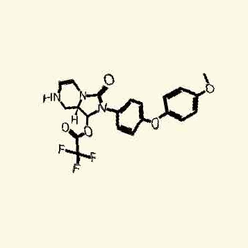 COc1ccc(Oc2ccc(N3C(=O)N4CCNC[C@H]4C3OC(=O)C(F)(F)F)cc2)cc1